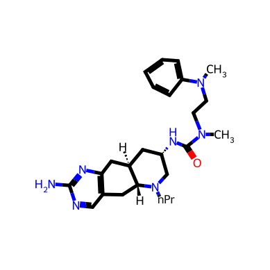 CCCN1C[C@@H](NC(=O)N(C)CCN(C)c2ccccc2)C[C@@H]2Cc3nc(N)ncc3C[C@H]21